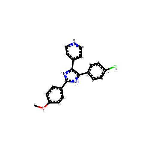 COc1ccc(-c2nc(-c3ccncc3)c(-c3ccc(Cl)cc3)[nH]2)cc1